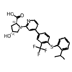 CC(C)c1ccccc1Sc1ccc(-c2ccnc(N3C[C@H](O)C[C@H]3C(=O)O)c2)cc1C(F)(F)F